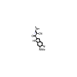 CNc1cc2[nH]c(C(=O)/C(C#N)=C/N(C)C)cc2cc1F